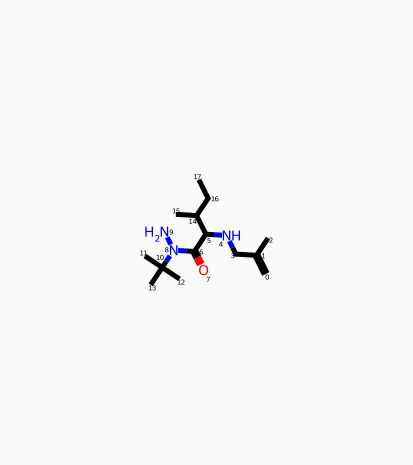 C=C(C)CNC(C(=O)N(N)C(C)(C)C)C(C)CC